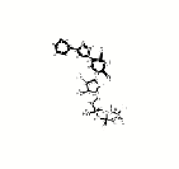 O=c1[nH]c(=O)n([C@@H]2O[C@H](COP(=O)(O)OP(=O)(O)OP(=O)(O)O)C(O)[C@@H]2O)cc1-n1cc(-c2ccccc2)nn1